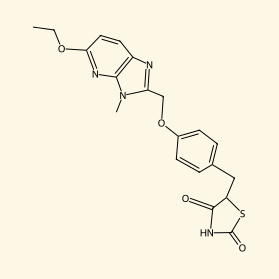 CCOc1ccc2nc(COc3ccc(CC4SC(=O)NC4=O)cc3)n(C)c2n1